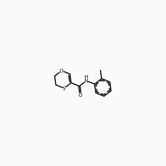 Cc1ccccc1NC(=O)C1=COCCS1